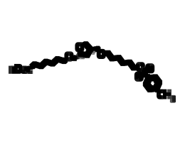 CCCCCCCCCCCCCCCCOC[C@H]1C[C@H](COCCCCCCOS(=O)(=O)c2ccc(C)cc2)CO1